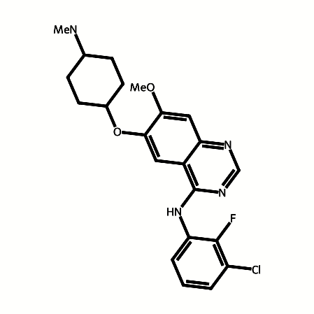 CNC1CCC(Oc2cc3c(Nc4cccc(Cl)c4F)ncnc3cc2OC)CC1